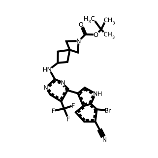 CC(C)(C)OC(=O)N1CC2(CC(Nc3ncc(C(F)(F)F)c(-c4c[nH]c5c(Br)c(C#N)ccc45)n3)C2)C1